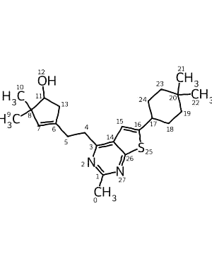 Cc1nc(CCC2=CC(C)(C)C(O)C2)c2cc(C3CCC(C)(C)CC3)sc2n1